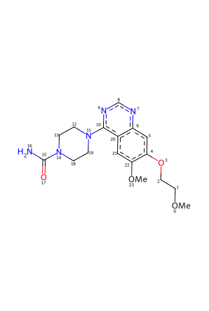 COCCOc1cc2ncnc(N3CCN(C(N)=O)CC3)c2cc1OC